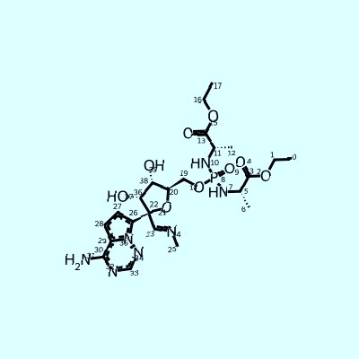 CCOC(=O)[C@H](C)NP(=O)(N[C@@H](C)C(=O)OCC)OC[C@H]1O[C@@](C=NC)(c2ccc3c(N)ncnn23)[C@H](O)[C@@H]1O